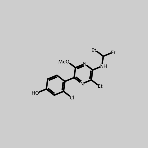 CCc1nc(-c2ccc(O)cc2Cl)c(OC)nc1NC(CC)CC